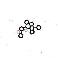 c1ccc(-c2c3ccccc3c(-c3oc4c(ccc5oc6ccccc6c54)c3-c3ccccc3)c3ccccc23)cc1